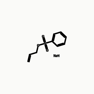 C=CCOS(=O)(=O)c1ccccc1.[NaH]